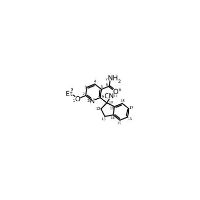 CCOc1ccc(C(N)=O)c(C2(C#N)CCc3ccccc32)n1